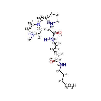 C[15N]1[13CH2][13CH2]N([13CH2][13CH]2CCC[15N]2CC(=O)[15NH][13CH2][13CH2][13CH2][13C](=O)NCCC[13C](=O)O)[13CH2][13CH2]1